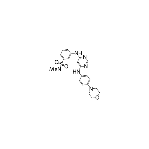 CNS(=O)(=O)c1cccc(Nc2cc(Nc3ccc(N4CCOCC4)cc3)ncn2)c1